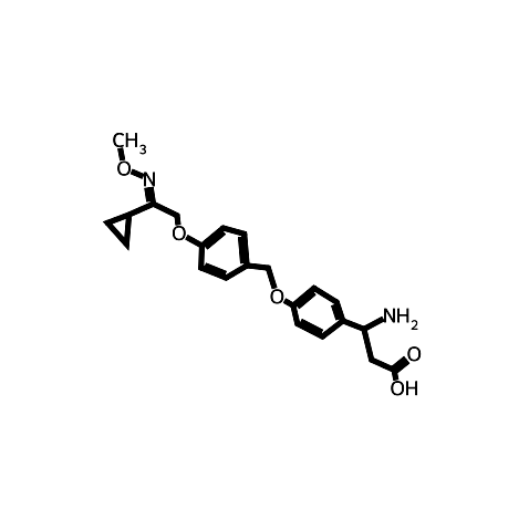 CO/N=C(/COc1ccc(COc2ccc(C(N)CC(=O)O)cc2)cc1)C1CC1